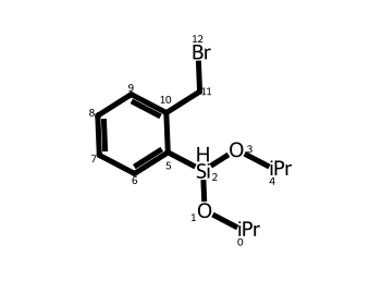 CC(C)O[SiH](OC(C)C)c1ccccc1CBr